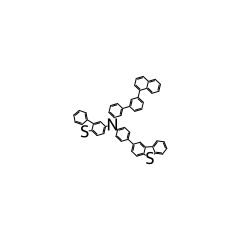 c1cc(-c2cccc(N(c3ccc(-c4ccc5sc6ccccc6c5c4)cc3)c3ccc4sc5ccccc5c4c3)c2)cc(-c2cccc3ccccc23)c1